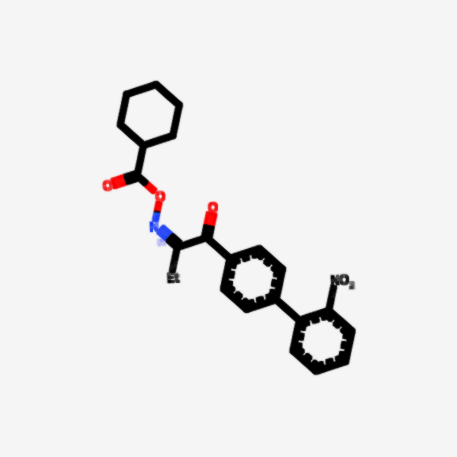 CC/C(=N/OC(=O)C1CCCCC1)C(=O)c1ccc(-c2ccccc2[N+](=O)[O-])cc1